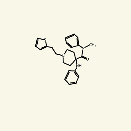 CN(C(=O)C1(Nc2ccccc2)CCN(CCc2cccs2)CC1)c1ccccc1